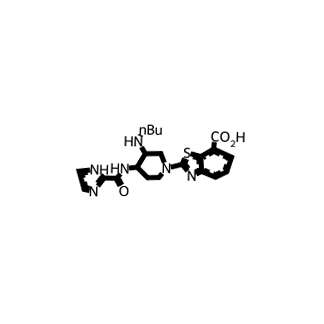 CCCCNC1CN(c2nc3cccc(C(=O)O)c3s2)CCC1NC(=O)c1ncc[nH]1